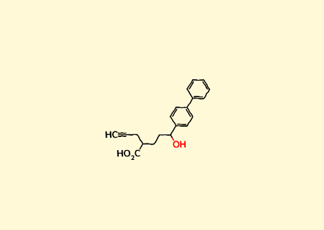 C#CCC(CCC(O)c1ccc(-c2ccccc2)cc1)C(=O)O